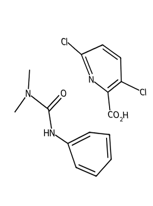 CN(C)C(=O)Nc1ccccc1.O=C(O)c1nc(Cl)ccc1Cl